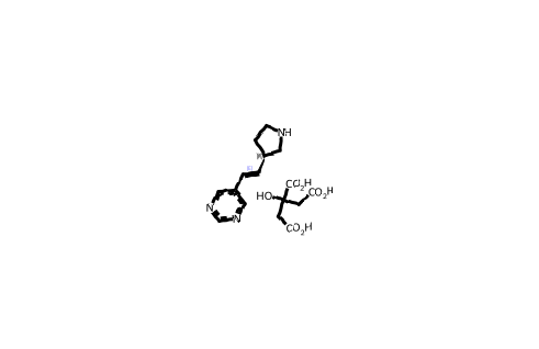 C(=C\[C@H]1CCNC1)/c1cncnc1.O=C(O)CC(O)(CC(=O)O)C(=O)O